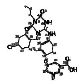 CCCN1C(=O)NC(NC2=CC(C)=C(Oc3cncc(C(=O)O)c3)CC2)N(CC2=CCC(Cl)CC2)C1=O